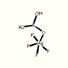 OB(O)[O][Ag]([F])([F])([F])[F]